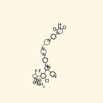 NS(=O)(=O)N1CCC(F)C1c1cc(Cl)cc(-c2cn(-c3ccc(N4CCN(CC5CCN(c6ccc(N7CCC(=O)NC7=O)cc6)CC5)CC4)cc3)nc2-c2ccncc2)c1F